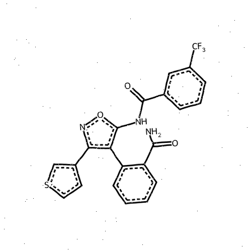 NC(=O)c1ccccc1-c1c(-c2ccsc2)noc1NC(=O)c1cccc(C(F)(F)F)c1